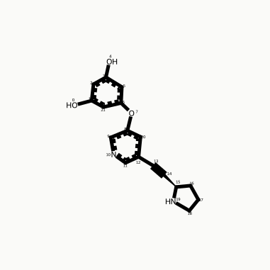 Oc1cc(O)cc(Oc2cncc(C#C[C@H]3CCCN3)c2)c1